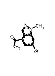 Cn1ncc2c(C(N)=O)cc(Br)cc21